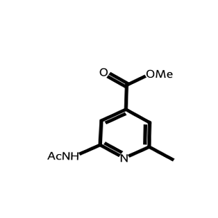 COC(=O)c1cc(C)nc(NC(C)=O)c1